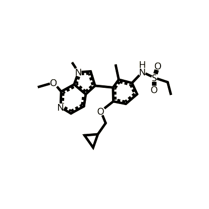 CCS(=O)(=O)Nc1ccc(OCC2CC2)c(-c2cn(C)c3c(OC)nccc23)c1C